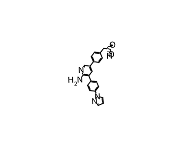 Nc1ncc(-c2ccc(C[SH](=O)=O)cc2)cc1-c1ccc(-n2cccn2)cc1